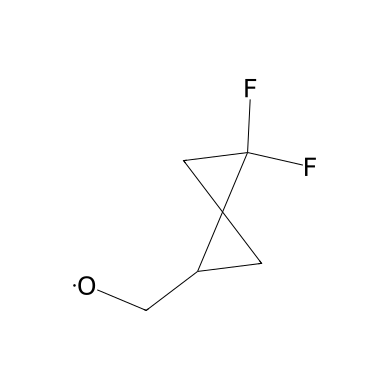 [O]CC1CC12CC2(F)F